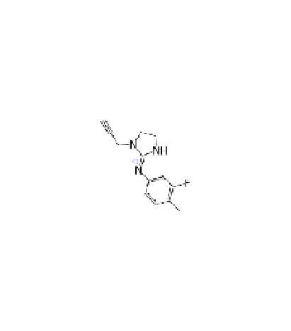 C#CCN1CCN/C1=N\c1ccc(C)c(F)c1